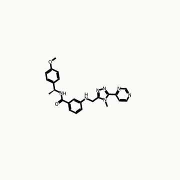 COc1ccc([C@H](C)NC(=O)c2cccc(NCc3nnc(-c4ccncn4)n3C)c2)cc1